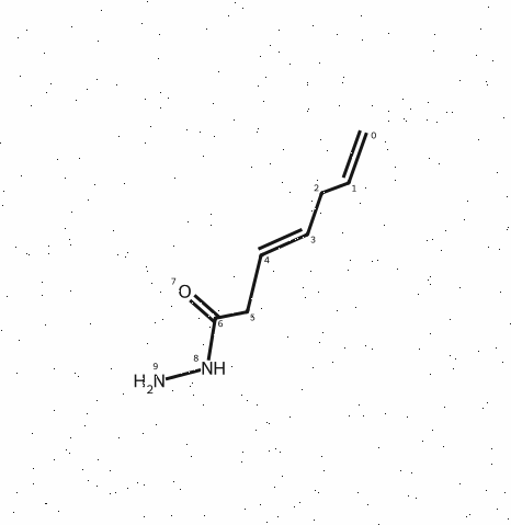 C=CCC=CCC(=O)NN